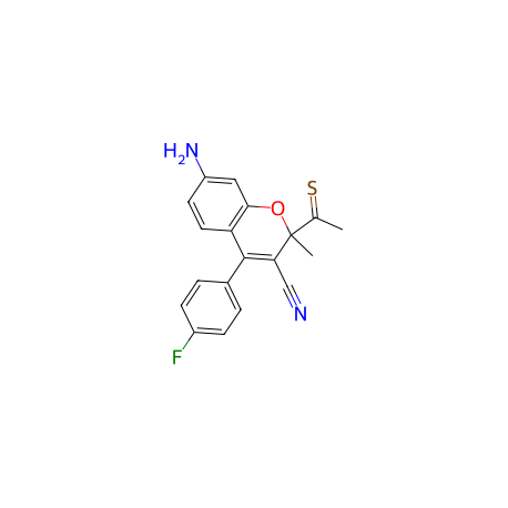 CC(=S)C1(C)Oc2cc(N)ccc2C(c2ccc(F)cc2)=C1C#N